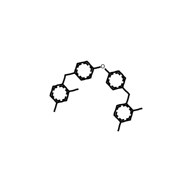 Cc1ccc(Cc2ccc(Oc3ccc(Cc4ccc(C)cc4C)cc3)cc2)c(C)c1